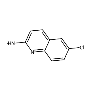 [NH]c1ccc2cc(Cl)ccc2n1